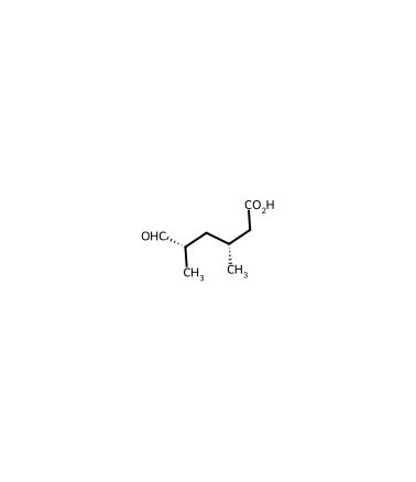 C[C@@H](CC(=O)O)C[C@H](C)C=O